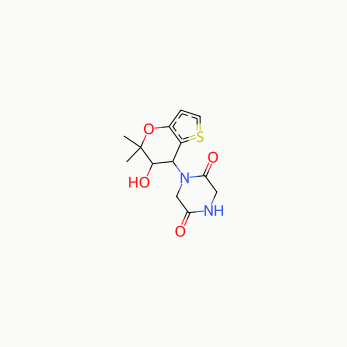 CC1(C)Oc2ccsc2C(N2CC(=O)NCC2=O)C1O